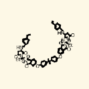 C=Cc1ccc(CNC2CC(=O)N(OC(CC)(CC)N3C(=O)c4ccc(Oc5ccc(C(C)(C)c6ccc(Oc7ccc8c(c7)C(=O)N(OC(C)(CC)N7C(=O)CC(NCc9ccc(C=C)cc9)C7=O)C8=O)cc6)cc5)cc4C3=O)C2=O)cc1